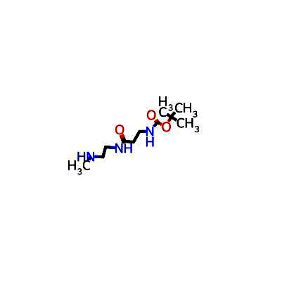 CNCCNC(=O)CCNC(=O)OC(C)(C)C